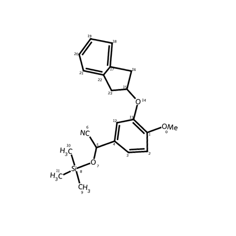 COc1ccc(C(C#N)O[Si](C)(C)C)cc1OC1Cc2ccccc2C1